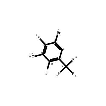 Oc1c(F)c(Br)cc(C(F)(F)F)c1F